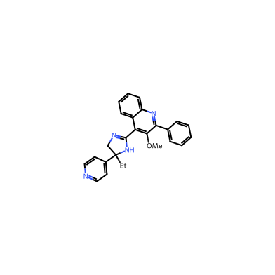 CCC1(c2ccncc2)CN=C(c2c(OC)c(-c3ccccc3)nc3ccccc23)N1